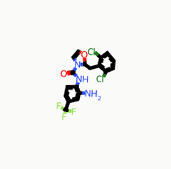 Nc1cc(C(F)(F)F)ccc1NC(=O)N1C=COC1Cc1c(Cl)cccc1Cl